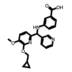 COc1ccc(C(Nc2cccc(C(=O)O)c2)c2cccnc2)nc1OCC1CC1